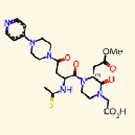 COC(=O)C[C@H]1C(=O)N(CC(=O)O)CCN1C(=O)C(CC(=O)N1CCN(c2ccncc2)CC1)NC(C)=S